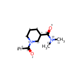 CC(C)C(=O)N1CCCC(C(=O)N(C)C)C1